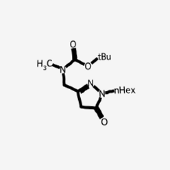 CCCCCCN1N=C(CN(C)C(=O)OC(C)(C)C)CC1=O